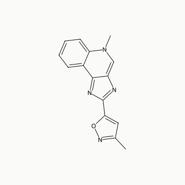 Cc1cc(-c2nc3cn(C)c4ccccc4c-3n2)on1